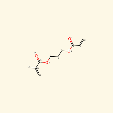 C=CC(=O)OCCCOC(=O)C(=C)C